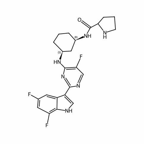 O=C(N[C@@H]1CCC[C@H](Nc2nc(-c3c[nH]c4c(F)cc(F)cc34)ncc2F)C1)C1CCCN1